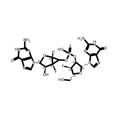 Nc1nc2c(ncn2[C@@H]2O[C@H](CO)[C@@H](F)[C@H]2OP(O)(=S)OC2[C@H]3O[C@@H](n4cnc5c(=O)[nH]c(N)nc54)[C@H](O)[C@@]23F)c(=O)[nH]1